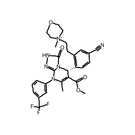 COC(=O)C1=C(C)N(c2cccc(C(F)(F)F)c2)c2n[nH]c(=O)n2[C@@H]1c1ccc(C#N)cc1CC[N+]1(C)CCOCC1